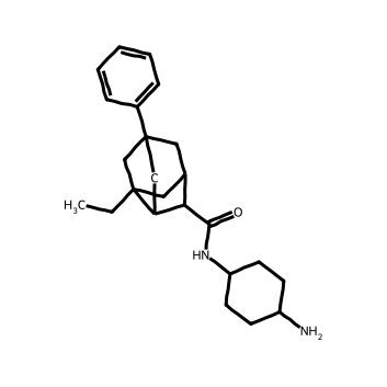 CCC12CC3CC(c4ccccc4)(CC1C3C(=O)NC1CCC(N)CC1)C2